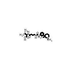 CCC1(c2cccc(OC(=O)NCCCC(=O)NC(C(=O)O)C(C)C)c2)CCCCN(C)C1